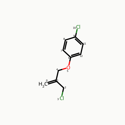 C=C(CCl)COc1ccc(Cl)cc1